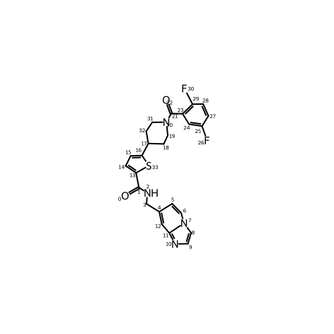 O=C(NCc1ccn2ccnc2c1)c1ccc(C2CCN(C(=O)c3cc(F)ccc3F)CC2)s1